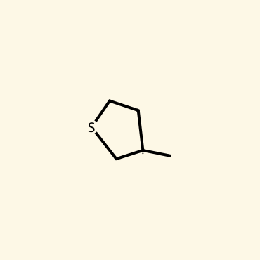 C[C]1CCSC1